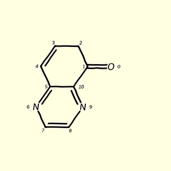 O=C1CC=Cc2nccnc21